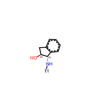 CCN[C@H]1c2ccccc2C[C@@H]1O